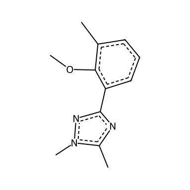 COc1c(C)cccc1-c1nc(C)n(C)n1